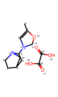 CC1=CN(C2CC3CCN2C3)CO1.O=C(O)C(=O)O